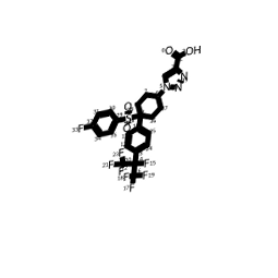 O=C(O)c1cn(C2CCC(c3ccc(C(F)(C(F)(F)F)C(F)(F)F)cc3)(S(=O)(=O)c3ccc(F)cc3)CC2)nn1